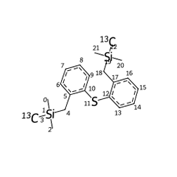 C[Si](C)([13CH3])Cc1ccccc1Sc1ccccc1C[Si](C)(C)[13CH3]